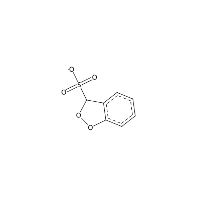 [O]S(=O)(=O)C1OOc2ccccc21